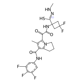 CN/N=C(\S)C1(NC(=O)C(=O)c2c(C)c(C(=O)Nc3cc(F)c(F)c(F)c3)c3n2CCC3)CC(F)(F)C1